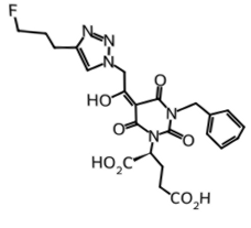 O=C(O)CC[C@@H](C(=O)O)N1C(=O)C(=C(O)Cn2cc(CCCF)nn2)C(=O)N(Cc2ccccc2)C1=O